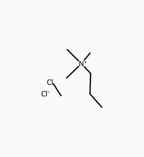 CCC[N+](C)(C)C.CCl.[Cl-]